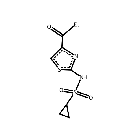 CCC(=O)c1csc(NS(=O)(=O)C2CC2)n1